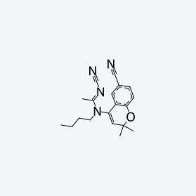 CCCCN(C1=CC(C)(C)Oc2ccc(C#N)cc21)C(C)=NC#N